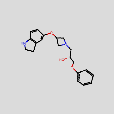 O[C@@H](COc1ccccc1)CN1CC(Oc2ccc3c(c2)CCN3)C1